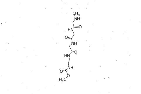 CNCC(=O)NCC(=O)NCC(=O)NCCNC(=O)OC